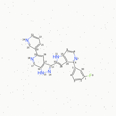 Fc1cccc(-c2nccc3[nH]c(-c4n[nH]c5cnc(-c6cccnc6)cc45)cc23)c1